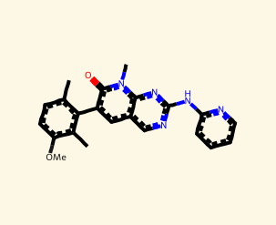 COc1ccc(C)c(-c2cc3cnc(Nc4ccccn4)nc3n(C)c2=O)c1C